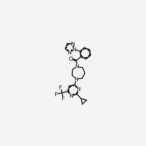 O=C(c1ccccc1-n1nccn1)N1CCCN(c2cc(C(F)(F)F)nc(C3CC3)n2)CC1